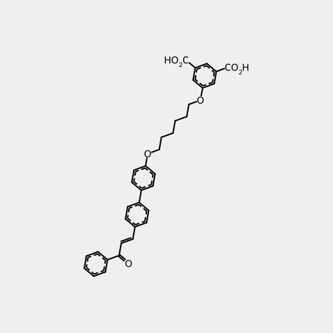 O=C(O)c1cc(OCCCCCCOc2ccc(-c3ccc(C=CC(=O)c4ccccc4)cc3)cc2)cc(C(=O)O)c1